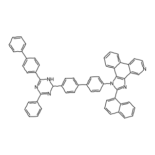 c1ccc(C2=NC(c3ccc(-c4ccc(-n5c(-c6cccc7ccccc67)nc6c7cnccc7c7ccccc7c65)cc4)cc3)NC(c3ccc(-c4ccccc4)cc3)=N2)cc1